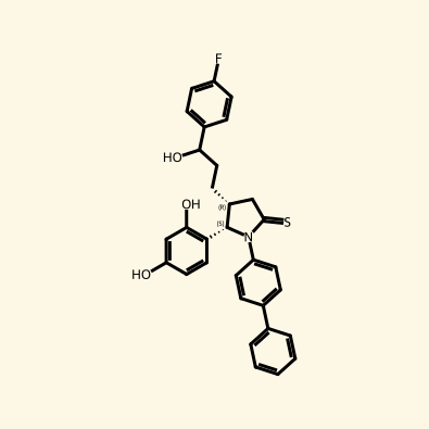 Oc1ccc([C@@H]2[C@H](CCC(O)c3ccc(F)cc3)CC(=S)N2c2ccc(-c3ccccc3)cc2)c(O)c1